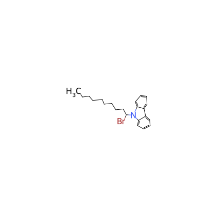 CCCCCCCCCC(Br)n1c2ccccc2c2ccccc21